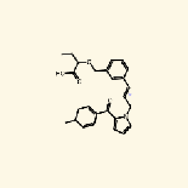 CCC(OCc1cccc(/C=C/Cn2cccc2C(=O)C2=CCC(C)C=C2)c1)C(=O)O